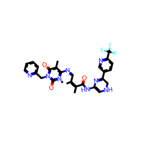 CC(/C=N\c1c(C)c(=O)n(Cc2ccccn2)c(=O)n1C)=C(\C)C(=O)NC1=CNCC(c2ccc(C(F)(F)F)nc2)=N1